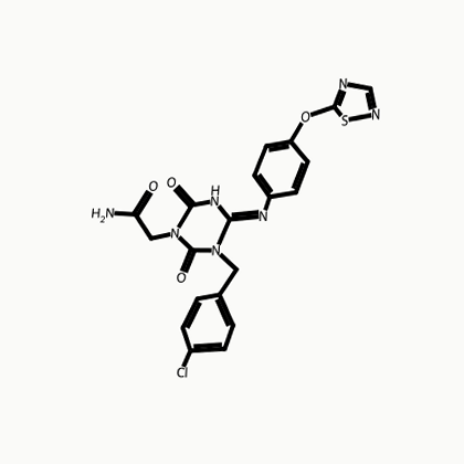 NC(=O)Cn1c(=O)[nH]/c(=N\c2ccc(Oc3ncns3)cc2)n(Cc2ccc(Cl)cc2)c1=O